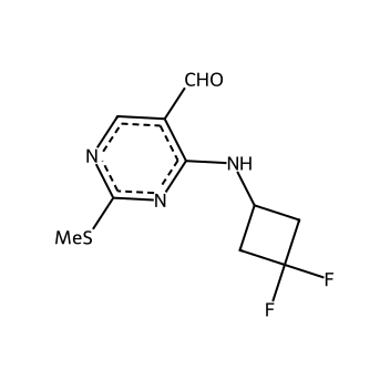 CSc1ncc(C=O)c(NC2CC(F)(F)C2)n1